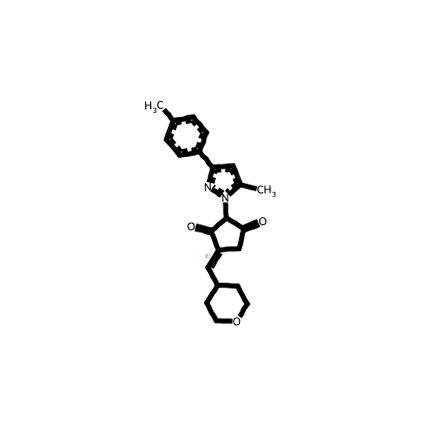 Cc1ccc(-c2cc(C)n(C3C(=O)C/C(=C\C4CCOCC4)C3=O)n2)cc1